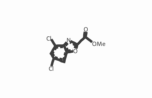 COC(=O)c1nc2c(Cl)cc(Cl)cc2o1